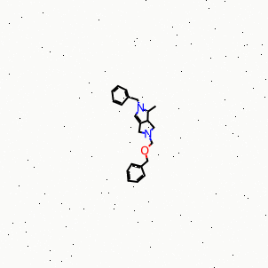 CC1C2CN(COCc3ccccc3)CC2=CN1Cc1ccccc1